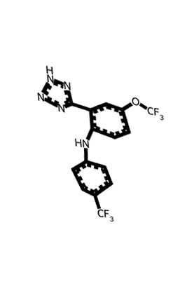 FC(F)(F)Oc1ccc(Nc2ccc(C(F)(F)F)cc2)c(-c2nn[nH]n2)c1